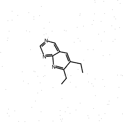 CCc1cc2cncnc2nc1CC